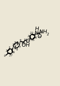 Cc1ccc(N2CCN(C[C@H](O)COc3ccc(NC(N)=O)cc3)CC2)cc1